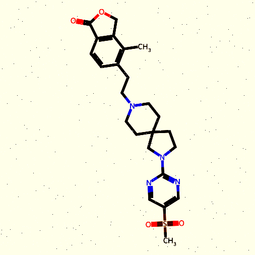 Cc1c(CCN2CCC3(CC2)CCN(c2ncc(S(C)(=O)=O)cn2)C3)ccc2c1COC2=O